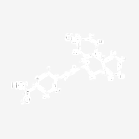 O=C(O)c1ccc(C#C/C=C/c2ccccc2-c2ccc(Cl)cc2)cc1